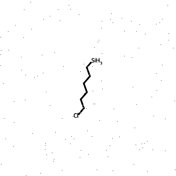 [SiH3]CCCCCCCl